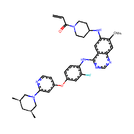 C=CC(=O)N1CCC(Nc2cc3c(Nc4ccc(Oc5ccnc(N6C[C@H](C)C[C@H](C)C6)c5)cc4F)ncnc3cc2OC)CC1